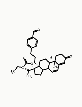 CCOC(=O)O[C@@]1(C(C)=O)CCC2C3C=CC4=CC(=O)CC[C@@]4(C)[C@@H]3CC[C@@]21CCCc1ccc(C=O)cc1